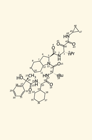 CCC[C@H](NC(=O)[C@@H]1CC2CCCCC2N1C(=O)[C@@H](NC(=O)[C@@H](NC(=O)[C@@](C)(O)c1ccccc1)C1CCCCC1)C(C)(C)C)C(=O)C(=O)NC1CC1